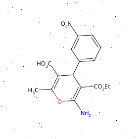 CCOC(=O)C1=C(N)OC(C)=C(C(=O)O)C1c1cccc([N+](=O)[O-])c1